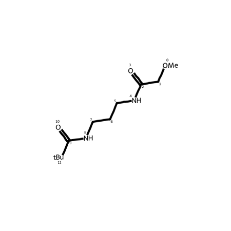 COCC(=O)NCCCNC(=O)C(C)(C)C